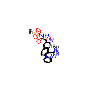 CCCCc1noc(C(=O)NS(=O)(=O)C(C)C)c1Cc1ccc(-c2ccccc2)c(-c2nnn[nH]2)c1